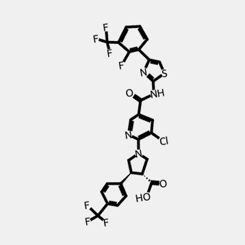 O=C(Nc1nc(-c2cccc(C(F)(F)F)c2F)cs1)c1cnc(N2C[C@H](C(=O)O)[C@@H](c3ccc(C(F)(F)F)cc3)C2)c(Cl)c1